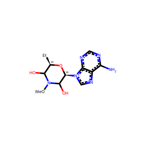 CC[C@H]1O[C@@H](n2cnc3c(N)ncnc32)C(O)N(OC)C1O